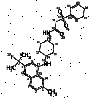 Cc1ccc2nc(C(C)(C)F)cc(NC3CCC(NC(=O)CS(=O)(=O)C4=CCCC=C4)CC3)c2c1